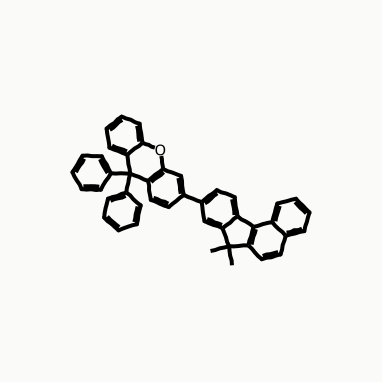 CC1(C)c2cc(-c3ccc4c(c3)Oc3ccccc3C4(c3ccccc3)c3ccccc3)ccc2-c2c1ccc1ccccc21